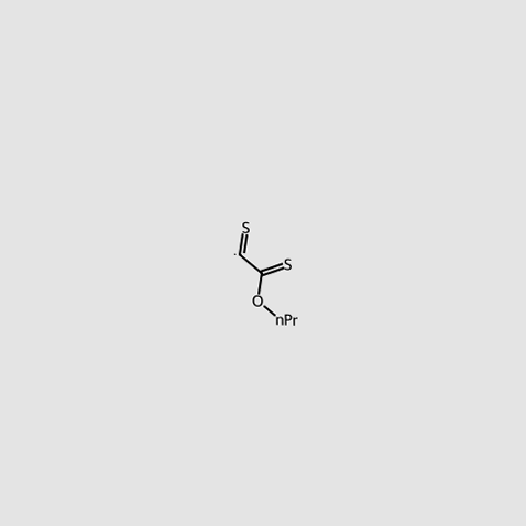 CCCOC(=S)[C]=S